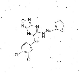 Clc1ccc(Nc2nc3nonc3nc2NN=Cc2ccco2)cc1Cl